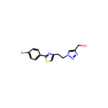 OCc1cn(CCc2csc(-c3ccc(Br)cc3)n2)nn1